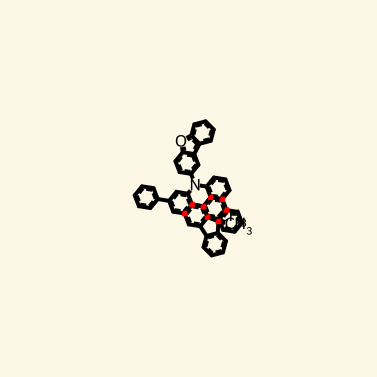 CC1(C)c2ccccc2-c2cccc(-c3c(-c4ccccc4)cccc3N(c3ccc4oc5ccccc5c4c3)c3cc(-c4ccccc4)ccc3-c3ccccc3)c21